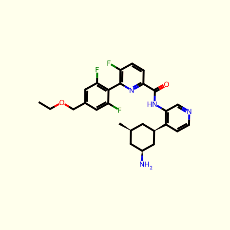 CCOCc1cc(F)c(-c2nc(C(=O)Nc3cnccc3[C@@H]3C[C@H](C)C[C@H](N)C3)ccc2F)c(F)c1